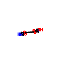 CC1(C)CC(OC(=O)CCCCCCCCC(=O)OC2CC(C)(C)N(O)C(C)(C)C2)CC(C)(C)N1